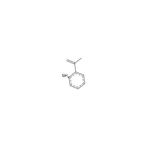 C=C(C)c1ccccc1.[SiH4]